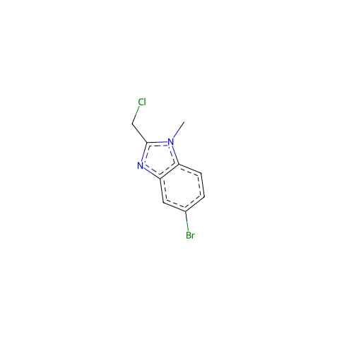 Cn1c(CCl)nc2cc(Br)ccc21